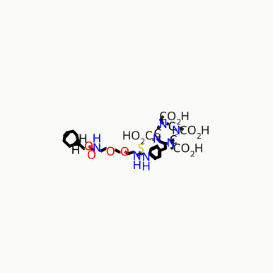 O=C(O)CN1CCN(CC(=O)O)CCN(CC(=O)O)C(Cc2ccc(NC(=S)NCCOCCOCCNC(=O)OCC3[C@H]4CCC#CCC[C@@H]34)cc2)CN(CC(=O)O)CC1